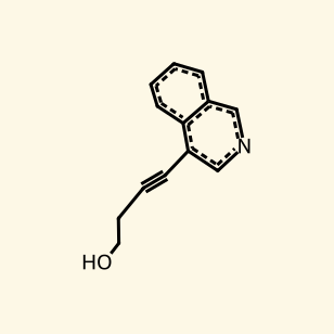 OCCC#Cc1cncc2ccccc12